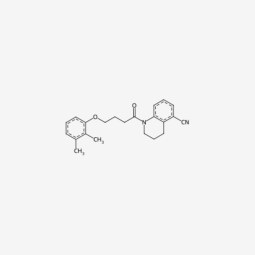 Cc1cccc(OCCCC(=O)N2CCCc3c(C#N)cccc32)c1C